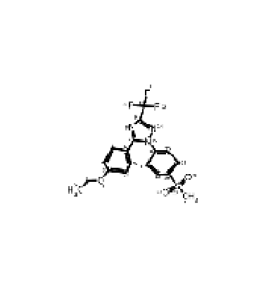 CCOc1ccc(-c2nc(C(F)(F)F)nn2-c2ccc(S(C)(=O)=O)cc2)cc1